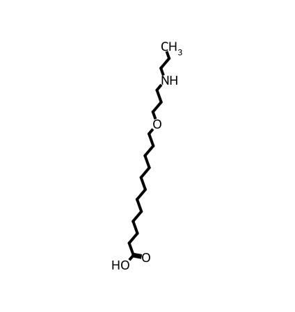 CCCNCCCOCCCCCCCCCCCC(=O)O